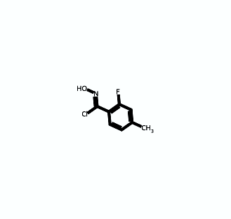 Cc1ccc(C(Cl)=NO)c(F)c1